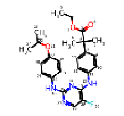 CCOC(=O)C(C)(C)c1ccc(Nc2nc(Nc3ccc(OC(C)C)cc3)ncc2F)cc1